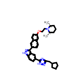 C[C@@H]1CCC[C@H](C)N1CCOc1ccc2cc(-c3n[nH]c4ccc(-c5nc(CC6CCCC6)n[nH]5)cc34)ccc2c1